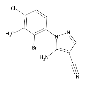 Cc1c(Cl)ccc(-n2ncc(C#N)c2N)c1Br